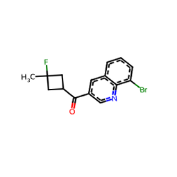 CC1(F)CC(C(=O)c2cnc3c(Br)cccc3c2)C1